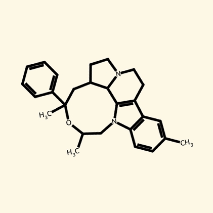 Cc1ccc2c(c1)c1c3n2CC(C)OC(C)(c2ccccc2)CC2CCN(CC1)C32